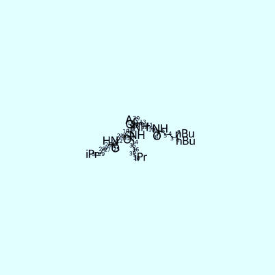 CCCCC(CCCC)CCCCC(=O)NCCCCC(NC(=O)C(CCCCNC(=O)CCCCC(C)C)NC(=O)CCCCC(C)C)C(C)=O